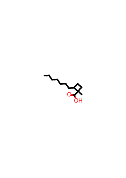 CCCCCCCC1CCC1(C)C(=O)O